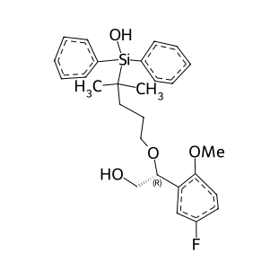 COc1ccc(F)cc1[C@H](CO)OCCCC(C)(C)[Si](O)(c1ccccc1)c1ccccc1